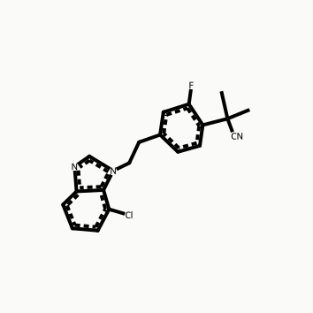 CC(C)(C#N)c1ccc(CCn2cnc3cccc(Cl)c32)cc1F